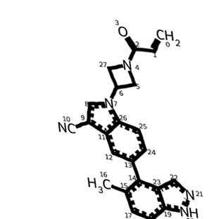 C=CC(=O)N1CC(n2cc(C#N)c3cc(-c4c(C)ccc5[nH]ncc45)ccc32)C1